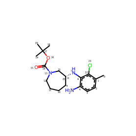 Cc1ccc(N)c(N[C@@H]2CCCCN(C(=O)OC(C)(C)C)C2)c1Cl